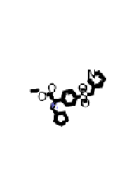 CCOC(=O)/C(=C/C1CCCC1)c1ccc(S(=O)(=O)Cc2cccnc2)cc1